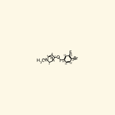 CN1CC2CC1CC2OCc1ccc(Br)c(F)c1